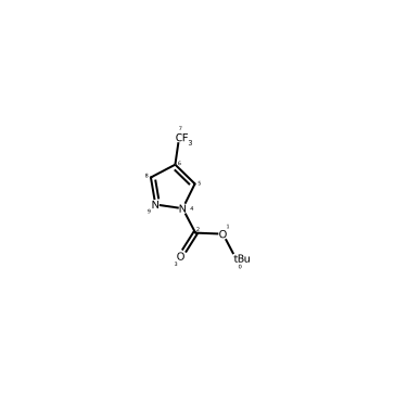 CC(C)(C)OC(=O)n1cc(C(F)(F)F)cn1